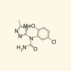 COc1ccc(Cl)cc1N(C(N)=O)c1nnc(C)s1